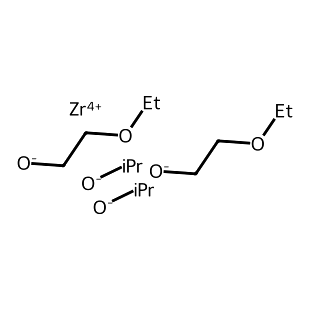 CC(C)[O-].CC(C)[O-].CCOCC[O-].CCOCC[O-].[Zr+4]